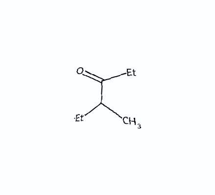 C[CH]C(C)C(=O)CC